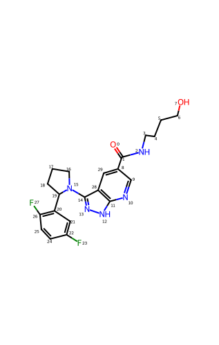 O=C(NCCCCO)c1cnc2[nH]nc(N3CCCC3c3cc(F)ccc3F)c2c1